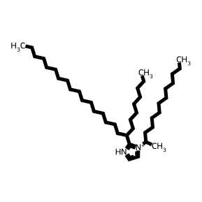 CCCCCCCCCCCCCCCCCC(CCCCCCCC)c1[nH]cc[n+]1C(C)CCCCCCCCCCC